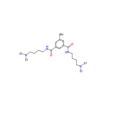 CCN(CC)CCCCNC(=O)c1cc(C(=O)NCCCCN(CC)CC)cc(C(C)(C)C)c1